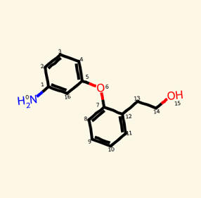 Nc1cccc(Oc2ccccc2CCO)c1